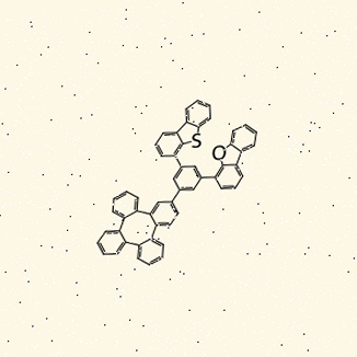 c1ccc2c(c1)-c1ccccc1-c1ccc(-c3cc(-c4cccc5c4oc4ccccc45)cc(-c4cccc5c4sc4ccccc45)c3)cc1-c1ccccc1-2